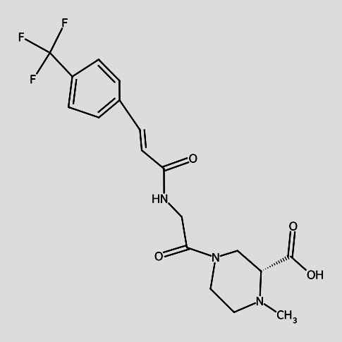 CN1CCN(C(=O)CNC(=O)/C=C/c2ccc(C(F)(F)F)cc2)C[C@@H]1C(=O)O